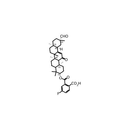 CC1(C)C2CC[C@]3(C)C(C(=O)C=C4[C@@H]5C[C@@](C)(C=O)CC[C@]5(C)CCC43C)[C@@]2(C)CC[C@@H]1OC(=O)c1cc(F)ccc1C(=O)O